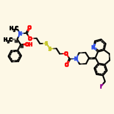 C[C@@H]([C@@H](O)c1ccccc1)N(C)C(=O)OCCSSCCOC(=O)N1CCC(=C2c3ccc(CI)cc3CCc3cccnc32)CC1